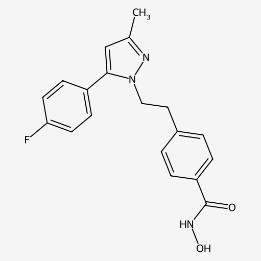 Cc1cc(-c2ccc(F)cc2)n(CCc2ccc(C(=O)NO)cc2)n1